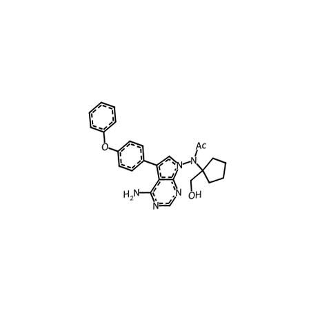 CC(=O)N(n1cc(-c2ccc(Oc3ccccc3)cc2)c2c(N)ncnc21)C1(CO)CCCC1